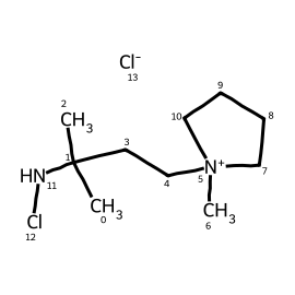 CC(C)(CC[N+]1(C)CCCC1)NCl.[Cl-]